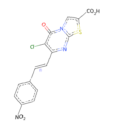 O=C(O)c1cn2c(=O)c(Cl)c(/C=C/c3ccc([N+](=O)[O-])cc3)nc2s1